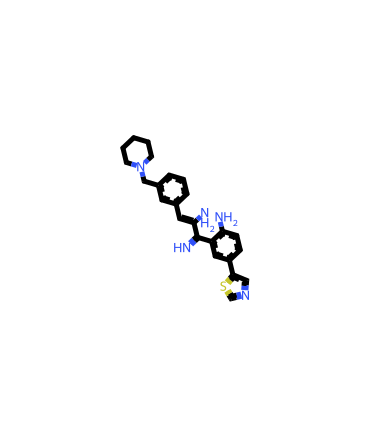 N=C(/C(N)=C/c1cccc(CN2CCCCC2)c1)c1cc(-c2cncs2)ccc1N